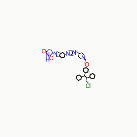 O=C1CCC(N2Cc3ccc(N4CC5CC4CN5CC4CCN(CCOc5ccc(C(=C(CCCl)c6ccccc6)c6ccccc6)cc5)CC4)cc3C2)C(=O)N1